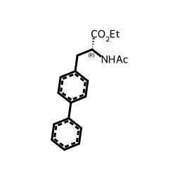 CCOC(=O)[C@@H](Cc1ccc(-c2ccccc2)cc1)NC(C)=O